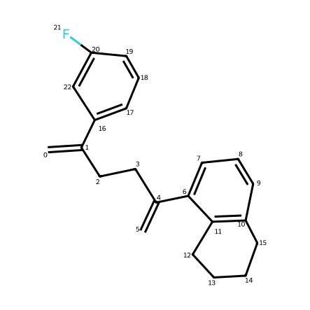 C=C(CCC(=C)c1cccc2c1CCCC2)c1cccc(F)c1